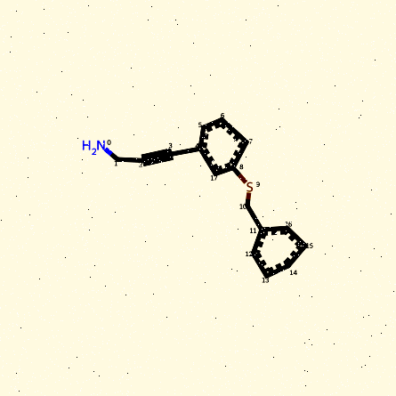 NCC#Cc1cccc(SCc2ccccc2)c1